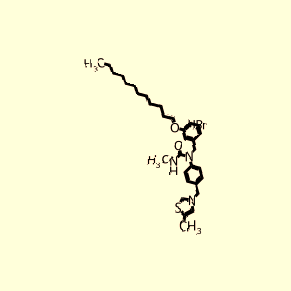 Br.CCCCCCCCCCCCOc1cccc(CN(C(=O)NC)c2ccc(CN3C=C(C)SC3)cc2)c1